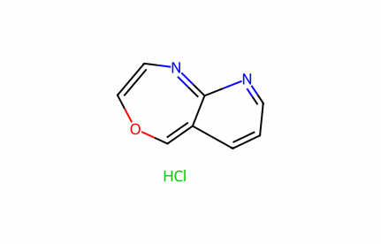 C1=COC=c2cccnc2=N1.Cl